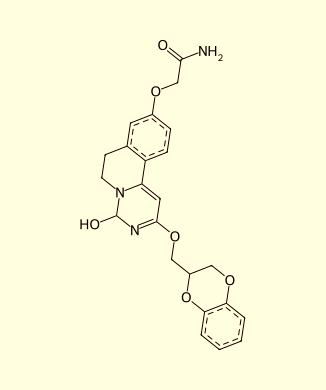 NC(=O)COc1ccc2c(c1)CCN1C2=CC(OCC2COc3ccccc3O2)=NC1O